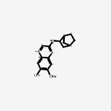 COc1cc2nc(NC3CC4CCC3C4)cnc2cc1Cl